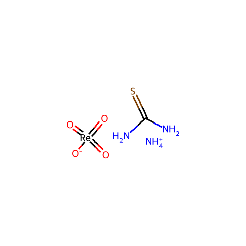 NC(N)=S.[NH4+].[O]=[Re](=[O])(=[O])[O-]